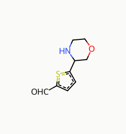 O=Cc1ccc(C2COCCN2)s1